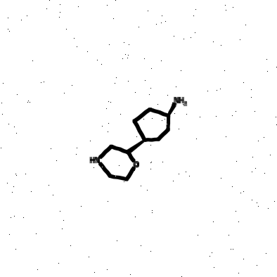 N[C@H]1CC[C@@H](C2CNCCO2)CC1